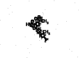 Cc1cc(C2CC2)cnc1N1CCN(C(=O)c2ccc(N3C(=O)OC[C@H]3C)cc2N2CCNC2=O)CC1